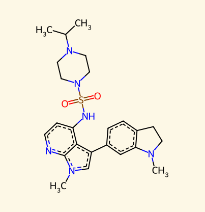 CC(C)N1CCN(S(=O)(=O)Nc2ccnc3c2c(-c2ccc4c(c2)N(C)CC4)cn3C)CC1